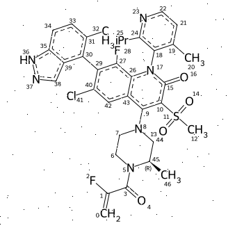 C=C(F)C(=O)N1CCN(c2c(S(C)(=O)=O)c(=O)n(-c3c(C)ccnc3C(C)C)c3c(F)c(-c4c(C)ccc5[nH]ncc45)c(Cl)cc23)C[C@H]1C